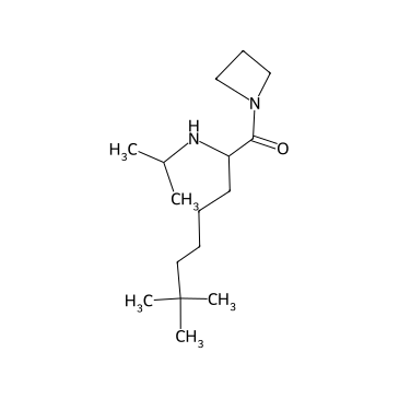 CC(C)NC(CCCCC(C)(C)C)C(=O)N1CCC1